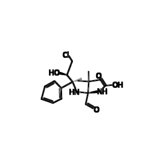 CC(C)(C)[C@@](C=O)(NC(=O)O)N[C@@](C)(c1ccccc1)[C@@H](O)CCl